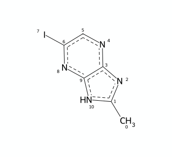 Cc1nc2ncc(I)nc2[nH]1